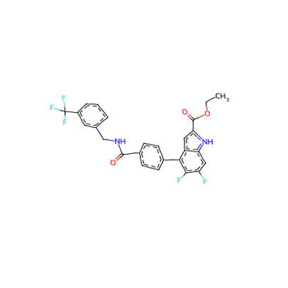 CCOC(=O)c1cc2c(-c3ccc(C(=O)NCc4cccc(C(F)(F)F)c4)cc3)c(F)c(F)cc2[nH]1